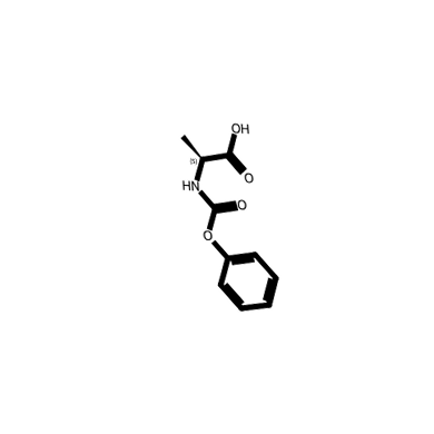 C[C@H](NC(=O)Oc1ccccc1)C(=O)O